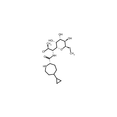 CS[C@H]1O[C@H]([C@H](NC(=O)[C@@H]2CCC(C3CC3)CCN2)[C@H](C)Cl)[C@H](O)[C@H](O)[C@H]1O